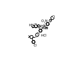 CC1(C)CCC(CN2CCN(c3ccc(C(=O)NS(=O)(=O)c4ccc(N5CC6(CCOCC6)C5)c([N+](=O)[O-])c4)c(-n4ncc5nc6[nH]ccc6cc54)c3)CC2)=C(c2ccc(Cl)cc2)C1.Cl